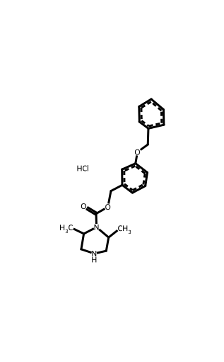 CC1CNCC(C)N1C(=O)OCc1cccc(OCc2ccccc2)c1.Cl